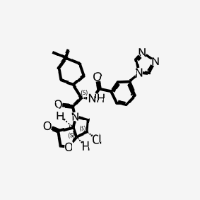 CC1(C)CCC([C@H](NC(=O)c2cccc(-n3cnnc3)c2)C(=O)N2C[C@H](Cl)[C@H]3OCC(=O)[C@H]32)CC1